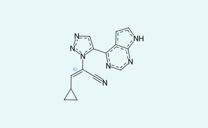 N#C/C(=C\C1CC1)n1nncc1-c1ncnc2[nH]ccc12